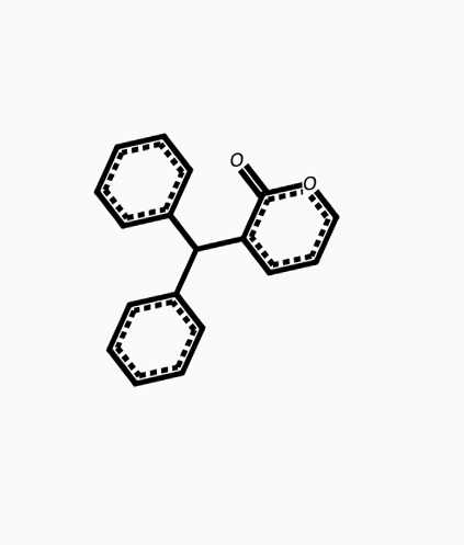 O=c1occcc1C(c1ccccc1)c1ccccc1